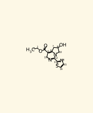 CCOC(=O)C1=C2CC(O)CN2C(c2nccs2)=NC1